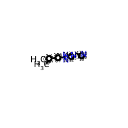 Cc1ccc(-c2ccc(-c3nc4ccn(Cc5cccnc5)cc-4n3)cc2)cc1C